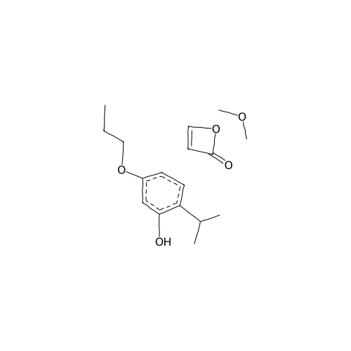 CCCOc1ccc(C(C)C)c(O)c1.COC.O=C1C=CO1